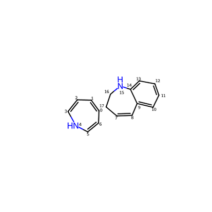 C1=CC=CNC=C1.C1=Cc2ccccc2NCC1